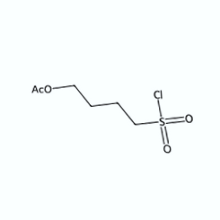 CC(=O)OCCCCS(=O)(=O)Cl